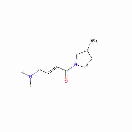 CN(C)C/C=C/C(=O)N1CCC(C(C)(C)C)C1